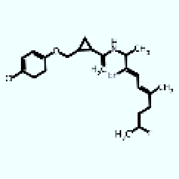 C=C(NC(C)/C(=C/C=C(\C)CCC(C)F)CC)C1CC1COC1=CC=C(Cl)CC1